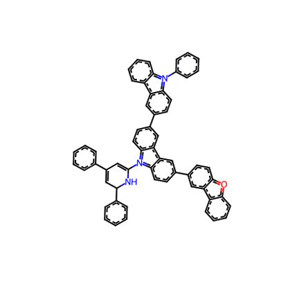 C1=C(c2ccccc2)C=C(n2c3ccc(-c4ccc5oc6ccccc6c5c4)cc3c3cc(-c4ccc5c(c4)c4ccccc4n5-c4ccccc4)ccc32)NC1c1ccccc1